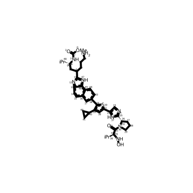 COC(=O)N[C@H](CC(CCCN)c1nc2ccc3cc(-c4sc(-c5cnc([C@@H]6CCCN6C(=O)[C@@H](NO)C(C)C)[nH]5)cc4C4CC4)ccc3c2[nH]1)C(C)C